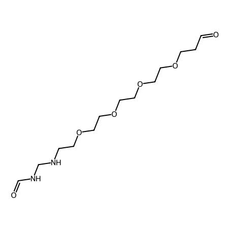 O=CCCOCCOCCOCCOCCNCNC=O